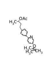 CC(=O)OC(C)CCc1ccc(-c2ccc(O[Si](C)(C)C)cn2)cc1